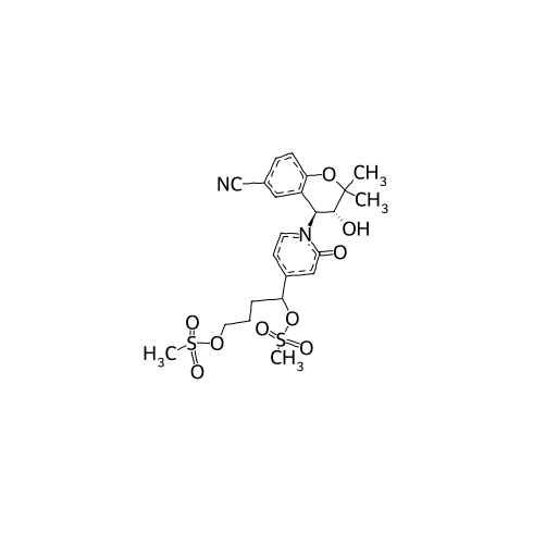 CC1(C)Oc2ccc(C#N)cc2[C@H](n2ccc(C(CCCOS(C)(=O)=O)OS(C)(=O)=O)cc2=O)[C@H]1O